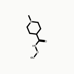 CN1CCC(C(=O)NOC(C)(C)C)CC1